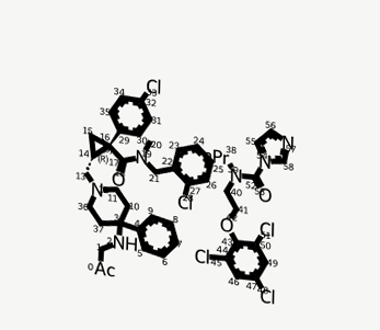 CC(=O)CNC1(c2ccccc2)CCN(C[C@@H]2C[C@@]2(C(=O)N(C)Cc2ccccc2Cl)c2ccc(Cl)cc2)CC1.CCCN(CCOc1c(Cl)cc(Cl)cc1Cl)C(=O)n1ccnc1